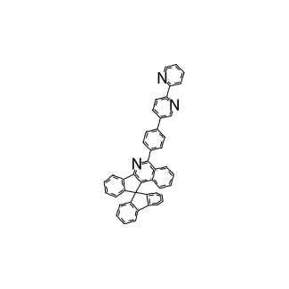 c1ccc(-c2ccc(-c3ccc(-c4nc5c(c6ccccc46)C4(c6ccccc6-c6ccccc64)c4ccccc4-5)cc3)cn2)nc1